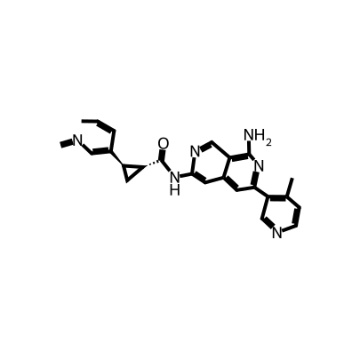 C=N/C=C(\C=C/C)[C@@H]1C[C@H]1C(=O)Nc1cc2cc(-c3cnccc3C)nc(N)c2cn1